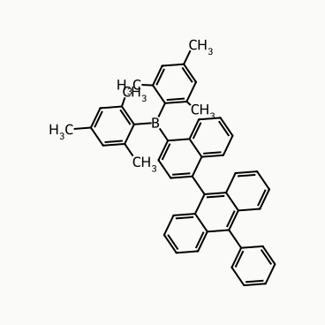 Cc1cc(C)c(B(c2c(C)cc(C)cc2C)c2ccc(-c3c4ccccc4c(-c4ccccc4)c4ccccc34)c3ccccc23)c(C)c1